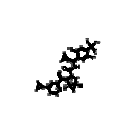 O=C(N[C@@H](c1cc(F)c(C(F)(F)F)cc1F)C1CC1)[C@H]1C[C@H]2C[C@H]2N1C(=O)c1cc(C2CC2)ccn1